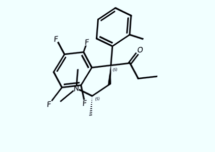 CCC(=O)[C@@](C[C@H](C)N(C)C)(c1ccccc1C)c1c(F)c(F)cc(F)c1F